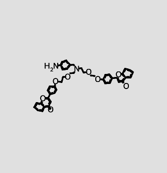 Nc1ccc(CN(CCOCCOc2ccc(-c3cc(=O)c4ccccc4o3)cc2)CCOCCOc2ccc(-c3cc(=O)c4ccccc4o3)cc2)cc1